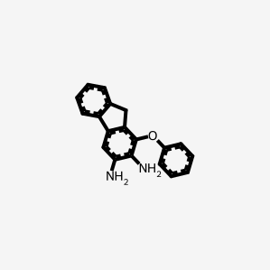 Nc1cc2c(c(Oc3ccccc3)c1N)Cc1ccccc1-2